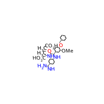 CC(=O)O.COc1cc([C@@H](Nc2ccc(C(=N)N)cc2)C(=O)N[C@@H](C)C(=O)O)ccc1OCc1ccccc1